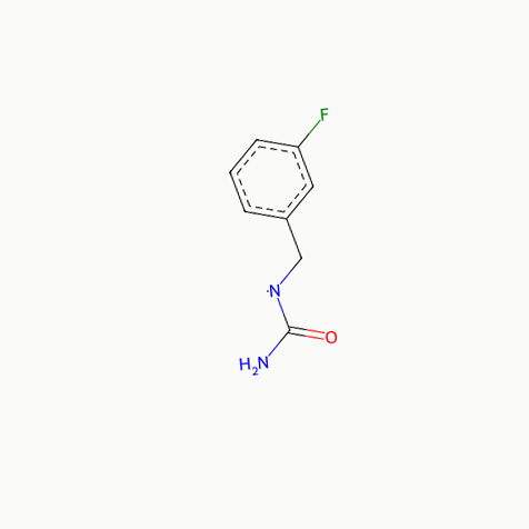 NC(=O)[N]Cc1cccc(F)c1